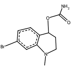 CN1CCC(OC(N)=O)c2ccc(Br)cc21